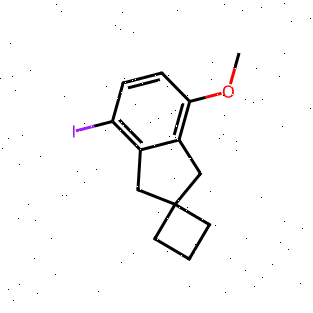 COc1ccc(I)c2c1CC1(CCC1)C2